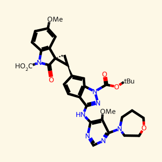 COc1ccc2c(c1)[C@]1(C[C@H]1c1ccc3c(Nc4ncnc(N5CCCOCC5)c4OC)nn(C(=O)OC(C)(C)C)c3c1)C(=O)N2C(=O)O